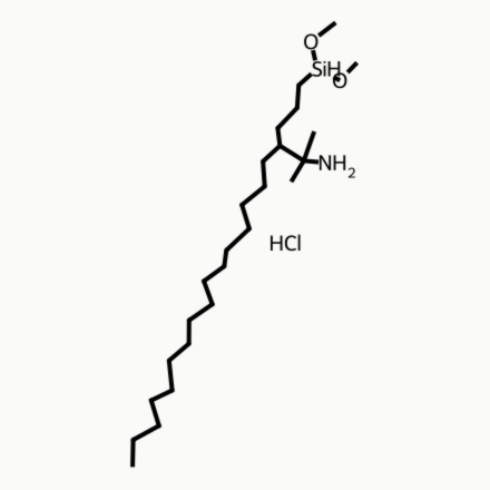 CCCCCCCCCCCCCCCCC(CCC[SiH](OC)OC)C(C)(C)N.Cl